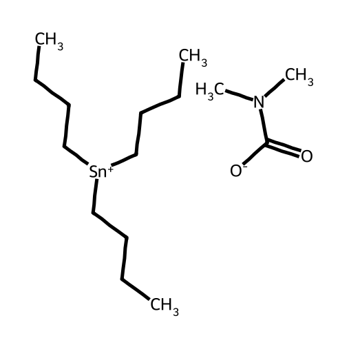 CCC[CH2][Sn+]([CH2]CCC)[CH2]CCC.CN(C)C(=O)[O-]